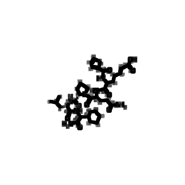 CC(C)C[C@H](NC(=O)[C@@H]1CCCN1C(=O)[C@H](CCC(N)=O)NC(=O)C(CC/C=C/C(=O)O)NC(=O)c1cccs1)C(=O)N[C@H](C(N)=O)C1CCCCC1